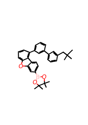 CC(C)(C)Cc1cccc(-c2cccc(-c3cccc4oc5cc(B6OC(C)(C)C(C)(C)O6)ccc5c34)c2)c1